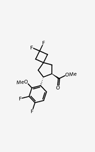 COC(=O)[C@@H]1CC2(C[C@H]1c1ccc(F)c(F)c1OC)CC(F)(F)C2